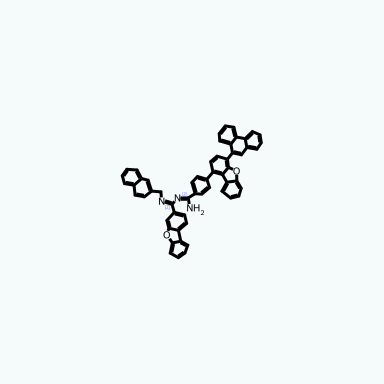 N/C(=N\C(=N/Cc1ccc2ccccc2c1)c1ccc2c(c1)oc1ccccc12)c1ccc(-c2ccc(-c3cc4ccccc4c4ccccc34)c3oc4ccccc4c23)cc1